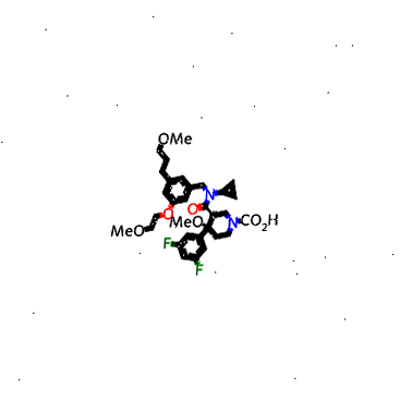 COCCCc1cc(CN(C(=O)[C@H]2CN(C(=O)O)CC[C@]2(OC)c2cc(F)cc(F)c2)C2CC2)cc(OCCOC)c1